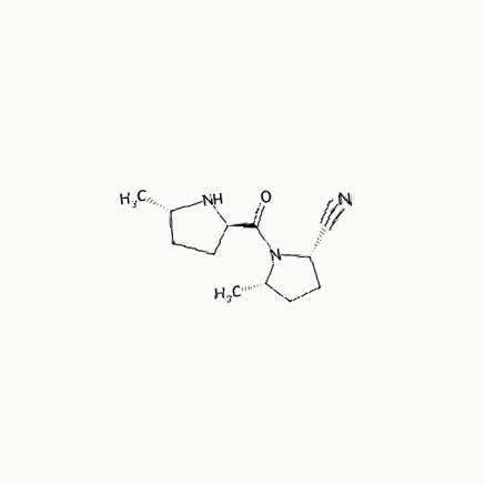 C[C@H]1CC[C@H](C(=O)N2[C@H](C#N)CC[C@@H]2C)N1